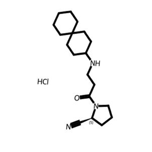 Cl.N#C[C@@H]1CCCN1C(=O)CCNC1CCC2(CCCCC2)CC1